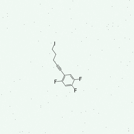 Fc1cc(F)c(C#CCCCI)cc1F